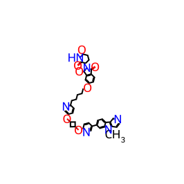 Cn1c2ccncc2c2ccc(-c3ccc(OC4CC(Oc5ccc(CCCCCOc6ccc7c(c6)C(=O)N(C6CCC(=O)NC6=O)C7=O)nc5)C4)nc3)cc21